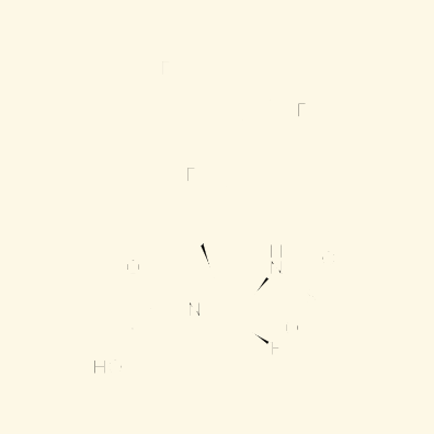 CC(C)(O)C(=O)N1C[C@H](F)[C@H](NS(C)(=O)=O)[C@@H]1Cc1cccc(-c2cc(F)ccc2F)c1F